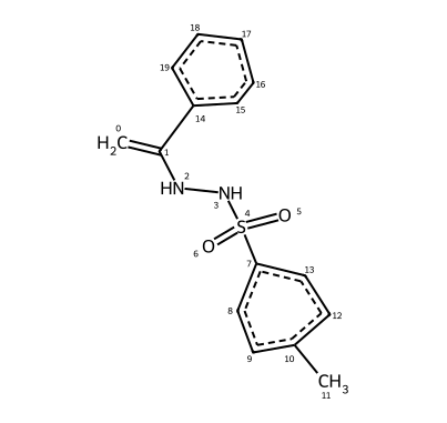 C=C(NNS(=O)(=O)c1ccc(C)cc1)c1ccccc1